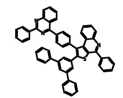 c1ccc(-c2cc(-c3ccccc3)cc(-c3sc4c(-c5ccccc5)nc5ccccc5c4c3-c3ccc(-c4nc(-c5ccccc5)nc5ccccc45)cc3)c2)cc1